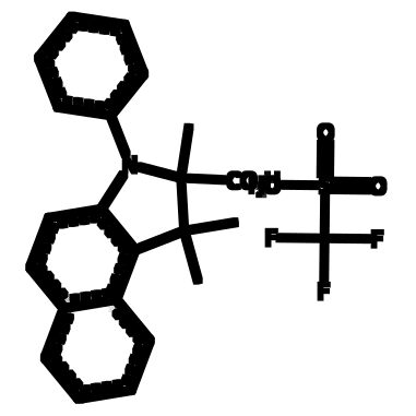 CC1(C)c2c(ccc3ccccc23)N(c2ccccc2)C1(C)C(=O)O.O=S(=O)(O)C(F)(F)F